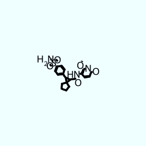 COc1ccc(NC(=O)C2C(c3ccc(S(N)(=O)=O)cc3)C23CCCC3)c(OC)n1